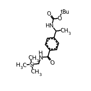 CC(NC(=O)OC(C)(C)C)c1ccc(C(=O)NC[Si](C)(C)C)cc1